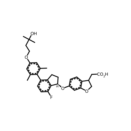 Cc1cc(OCCC(C)(C)O)cc(C)c1-c1ccc(F)c2c1CC[C@H]2Oc1ccc2c(c1)OCC2CC(=O)O